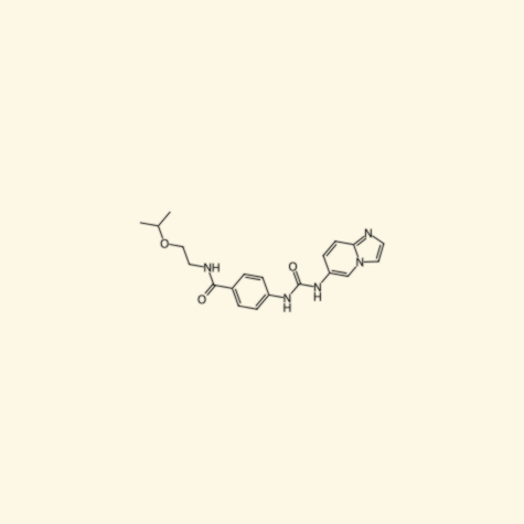 CC(C)OCCNC(=O)c1ccc(NC(=O)Nc2ccc3nccn3c2)cc1